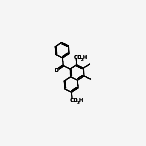 Cc1c(C(=O)O)c(C(=O)c2ccccc2)c2ccc(C(=O)O)cc2c1C